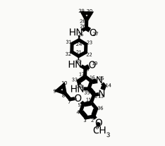 COc1ccc(OCC2CC2)c(-c2ncnc3c(C(=O)N[C@H]4CC[C@H](NC(=O)C5CC5)CC4)c[nH]c23)c1